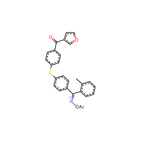 CC(=O)O/N=C(/c1ccc(Sc2ccc(C(=O)c3ccoc3)cc2)cc1)c1ccccc1C